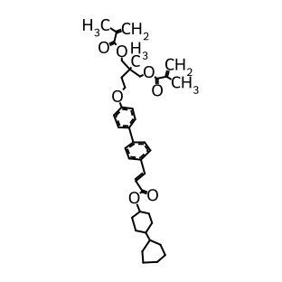 C=C(C)C(=O)OCC(C)(CCOc1ccc(-c2ccc(/C=C/C(=O)OC3CCC(C4CCCCC4)CC3)cc2)cc1)COC(=O)C(=C)C